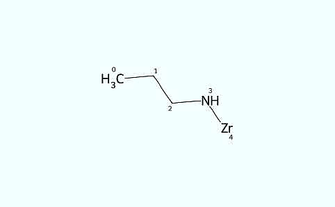 CCC[NH][Zr]